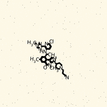 Cc1cc(C(C)Nc2ccc(Cl)nc2-c2ncn(C)n2)c2c(c1)c(=O)n(C)c1c2cnn1C1CCN(CCC#N)CC1